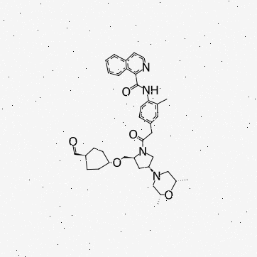 Cc1cc(CC(=O)N2C[C@@H](N3C[C@@H](C)O[C@@H](C)C3)C[C@H]2CO[C@H]2CC[C@H](C=O)CC2)ccc1NC(=O)c1nccc2ccccc12